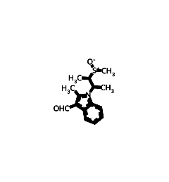 Cc1c(C=O)c2ccccc2n1C(C)C(C)[S+](C)[O-]